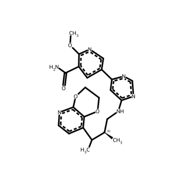 COc1ncc(-c2cc(NC[C@@H](C)C(C)c3ccnc4c3OCCO4)ncn2)cc1C(N)=O